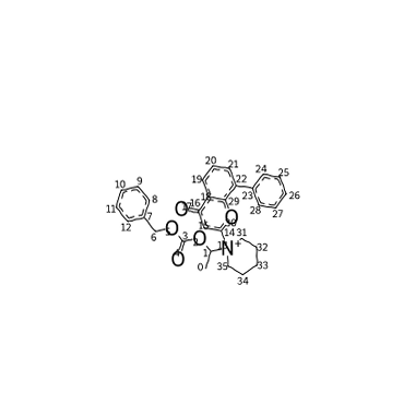 CC(OC(=O)OCc1ccccc1)[N+]1(c2cc(=O)c3cccc(-c4ccccc4)c3o2)CCCCC1